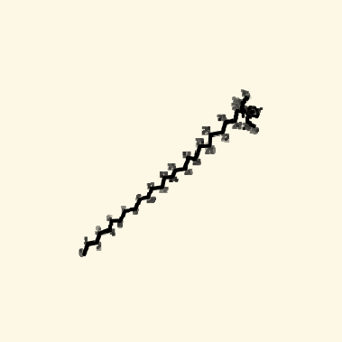 CCCCCCCCCCCCCCCCCCCCCCCCCC[N+]([O-])(CC)CC